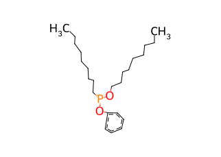 CCCCCCCCCOP(CCCCCCCCC)Oc1ccccc1